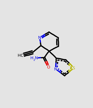 C#CC1N=CC=CC1(C(N)=O)c1cscn1